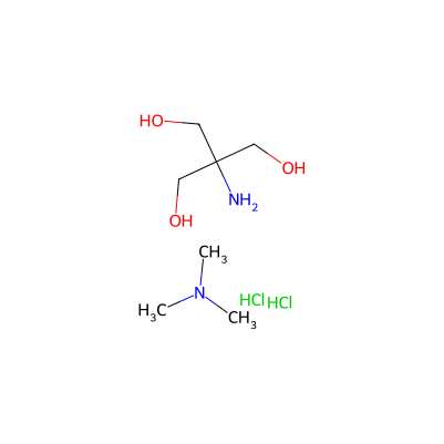 CN(C)C.Cl.Cl.NC(CO)(CO)CO